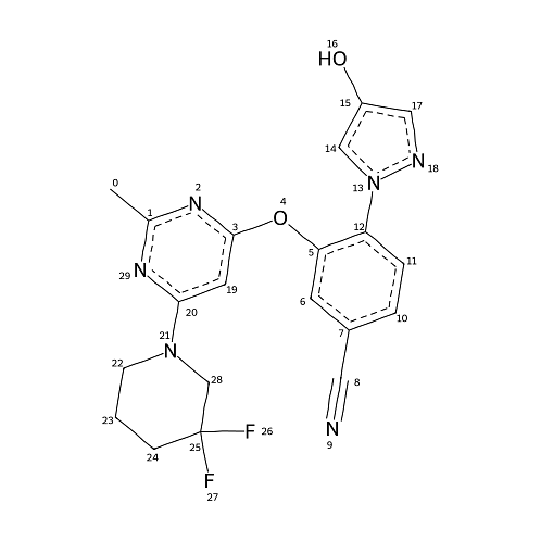 Cc1nc(Oc2cc(C#N)ccc2-n2cc(O)cn2)cc(N2CCCC(F)(F)C2)n1